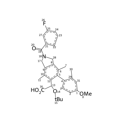 COc1ccc(-c2c(C)c3c(c(C)c2C(OC(C)(C)C)C(=O)O)CN(C(=O)c2cccc(F)c2)C3)c(C)c1